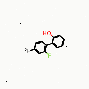 [2H]c1ccc(-c2ccccc2O)c(F)c1